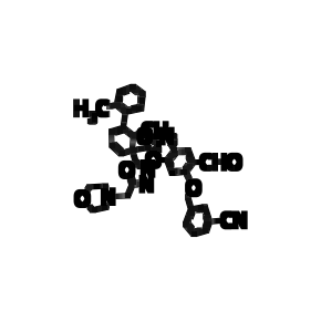 Cc1ccccc1C1=CC=CC(COc2cc(OCc3cccc(C#N)c3)c(C=O)cc2[N+](=O)[O-])(c2nnc(CN3CCOCC3)o2)C1C